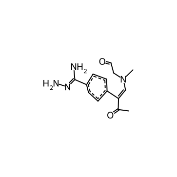 CC(=O)/C(=C/N(C)CC=O)c1ccc(/C(N)=N/N)cc1